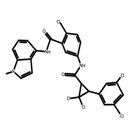 Cn1ccc2c(NC(=O)c3cc(NC(=O)C4C(c5cc(Cl)cc(Cl)c5)C4(Cl)Cl)ccc3Cl)cccc21